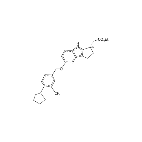 CCOC(=O)C[C@@H]1CCc2c1[nH]c1ccc(OCc3ccc(C4CCCC4)c(C(F)(F)F)c3)cc21